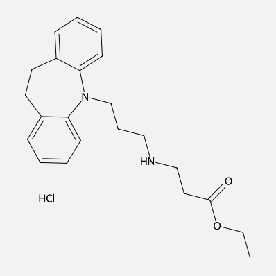 CCOC(=O)CCNCCCN1c2ccccc2CCc2ccccc21.Cl